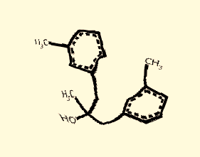 Cc1cccc(CC(C)(O)Cc2cccc(C)c2)c1